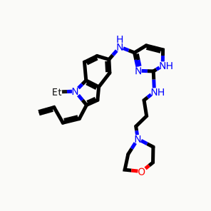 C=C/C=C\c1cc2cc(NC3=NC(NCCCN4CCOCC4)NC=C3)ccc2n1CC